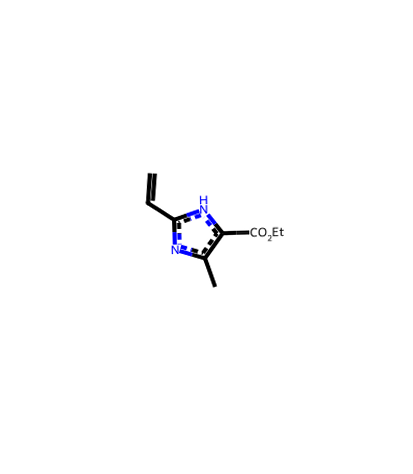 C=Cc1nc(C)c(C(=O)OCC)[nH]1